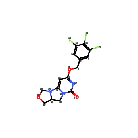 O=c1nc(OCc2cc(F)c(F)c(F)c2)cc2n1CC1COCN21